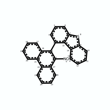 O=[N+]([O-])c1c(-c2cccc3sc4ccccc4c23)c2ccccc2c2ccccc12